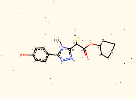 Cn1c(-c2ccc(O)cc2)nnc1C(S)C(=O)OC1CCCCC1